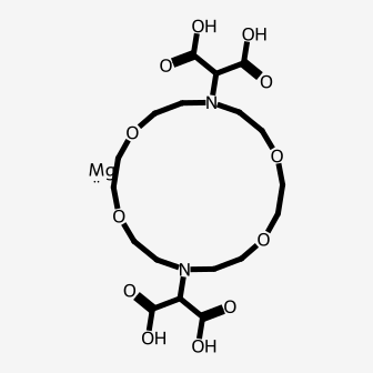 O=C(O)C(C(=O)O)N1CCOCCOCCN(C(C(=O)O)C(=O)O)CCOCCOCC1.[Mg]